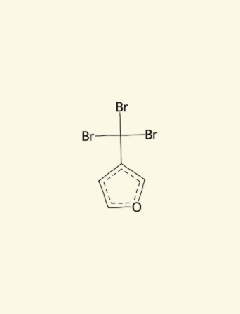 BrC(Br)(Br)c1ccoc1